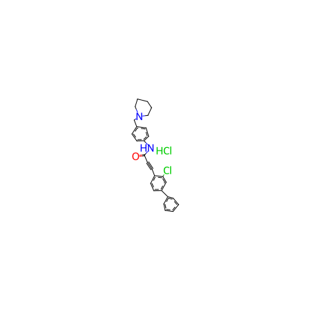 Cl.O=C(C#Cc1ccc(-c2ccccc2)cc1Cl)Nc1ccc(CN2CCCCC2)cc1